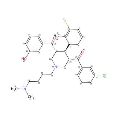 Cc1c(F)cccc1[C@@H]1[C@@H](C(=O)c2cccc(O)c2)CN(CCCCN(C)C)C[C@H]1C(=O)c1cccc(Cl)c1